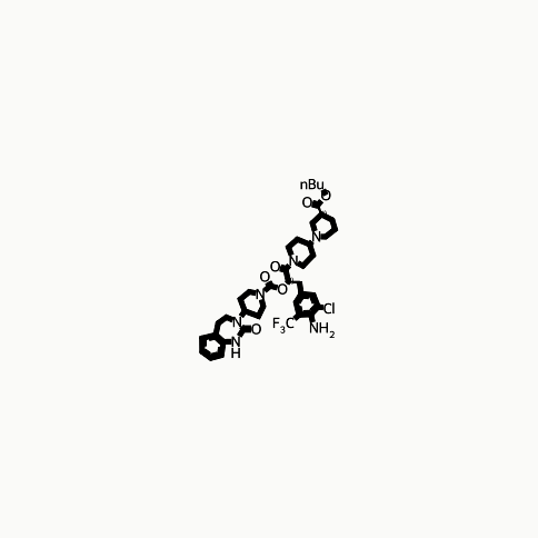 CCCCOC(=O)[C@H]1CCCN(C2CCN(C(=O)[C@@H](Cc3cc(Cl)c(N)c(C(F)(F)F)c3)OC(=O)N3CCC(N4CCc5ccccc5NC4=O)CC3)CC2)C1